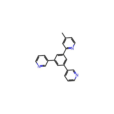 Cc1ccnc(-c2cc(-c3cccnc3)cc(-c3cccnc3)c2)c1